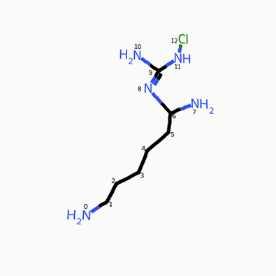 NCCCCCC(N)N=C(N)NCl